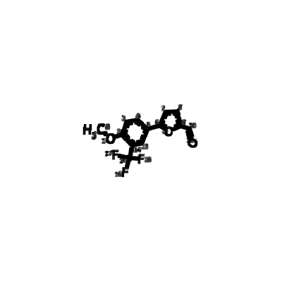 COc1ccc(-c2ccc(C=O)o2)cc1C(F)(F)F